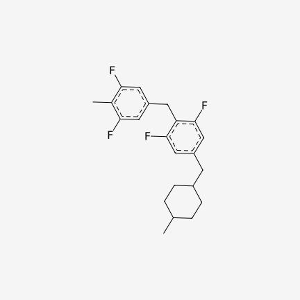 Cc1c(F)cc(Cc2c(F)cc(CC3CCC(C)CC3)cc2F)cc1F